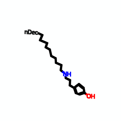 CCCCCCCCCCCCCCCCCCCCNCCCc1ccc(O)cc1